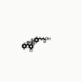 O=C(O)CCCc1ccc(S(=O)(=O)Nc2ccc(Cl)cc2C(=O)c2ccccc2)cc1